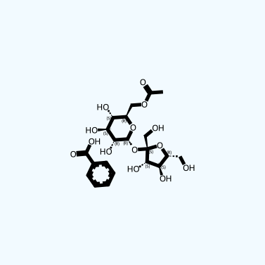 CC(=O)OC[C@H]1O[C@H](O[C@]2(CO)O[C@H](CO)[C@@H](O)[C@@H]2O)[C@H](O)[C@@H](O)[C@@H]1O.O=C(O)c1ccccc1